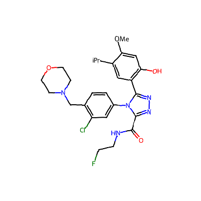 COc1cc(O)c(-c2nnc(C(=O)NCCF)n2-c2ccc(CN3CCOCC3)c(Cl)c2)cc1C(C)C